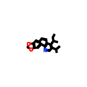 CCC(C)c1c(C(C)C)cnc2c1ccc1cc3c(cc12)OCO3